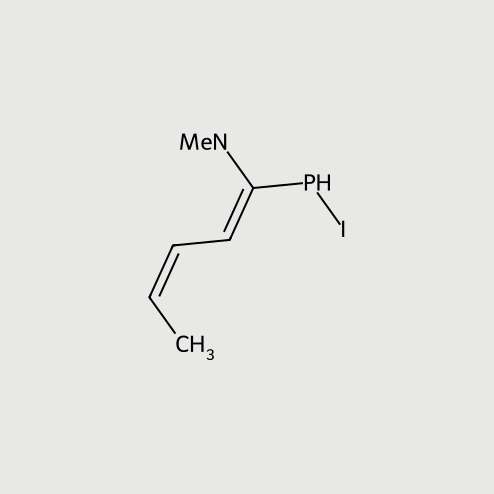 C/C=C\C=C(/NC)PI